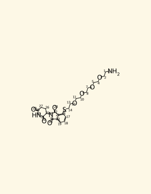 NCCOCCOCCOCCOCCSc1cccc2c1C(=O)N(C1CCC(=O)NC1=O)C2=O